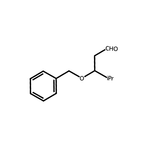 CC(C)C(CC=O)OCc1ccccc1